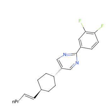 CCC/C=C/[C@H]1CC[C@H](c2cnc(-c3ccc(F)c(F)c3)nc2)CC1